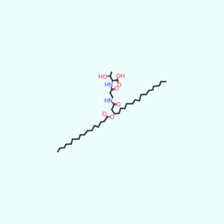 CCCCCCCCCCCCCCCC(=O)OC(CCCCCCCCCCCCCCC)CC(=O)NCCC(=O)N[C@H](C(=O)O)C(C)O